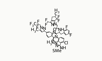 CSNc1nn(C)c2c(-n3c(C(Cc4cc(F)cc(F)c4)NC(=O)Cn4nc(C(F)F)c5c4C(F)(F)C(C)C5)nc4cc(-c5cc(C)n(CC(F)(F)C(F)(F)F)n5)ccc4c3=O)ccc(Cl)c12